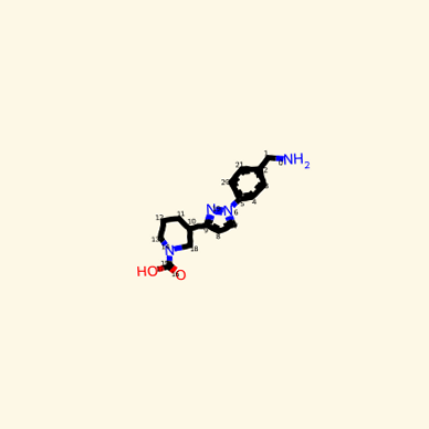 NCc1ccc(-n2ccc(C3CCCN(C(=O)O)C3)n2)cc1